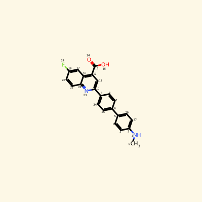 CNc1ccc(-c2ccc(-c3cc(C(=O)O)c4cc(F)ccc4n3)cc2)cc1